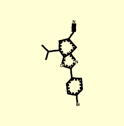 CC(C)c1cc(C#N)cc2nc(-c3ccc(Br)cc3)oc12